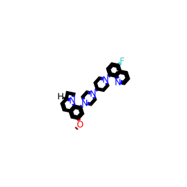 COc1cc2c(c(N3CCN(C4CCN(c5ccc(F)c6cccnc56)CC4)CC3)c1)N1CC[C@H]1C=C2